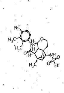 CCS(=O)(=O)N[C@H]1C[C@@]2(C)O[C@@]13CCO[C@H]1[C@@H]3[C@@H]2C(=O)N1c1ccc(C#N)c(C)c1C